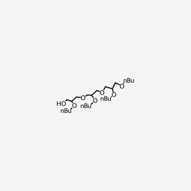 CCCCOCC(COCC(COCC(CO)OCCCC)OCCCC)OCCCC